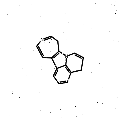 C1=Cn2c3c(c4cccc(c42)C1)C=CN=CC3